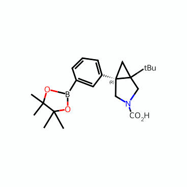 CC(C)(C)C12CN(C(=O)O)C[C@@]1(c1cccc(B3OC(C)(C)C(C)(C)O3)c1)C2